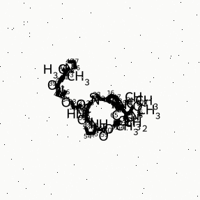 C=C/C(=C(\N=C/C)[C@H](C)OC)c1c2c3cc(ccc3n1CC)C1CSC(=N1)C[C@H](NC(=O)CCOC1CN(C(=O)C#CC(C)(C)N3CCC3)C1)C(=O)N1CCC[C@H](N1)C(=O)OCC(C)(C)C2